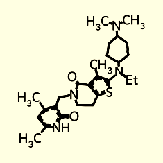 CCN(c1sc2c(c1C)C(=O)N(Cc1c(C)cc(C)[nH]c1=O)CC2)C1CCC(N(C)C)CC1